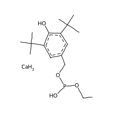 CCOP(O)OCc1cc(C(C)(C)C)c(O)c(C(C)(C)C)c1.[CaH2]